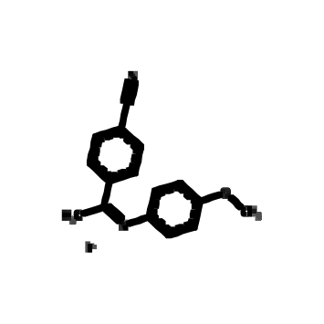 COc1ccc(N=C(C)c2ccc(C#N)cc2)cc1.[Ir]